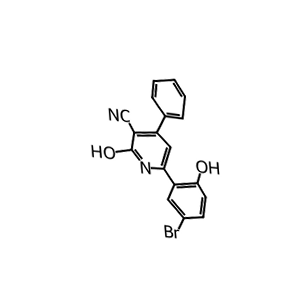 N#Cc1c(-c2ccccc2)cc(-c2cc(Br)ccc2O)nc1O